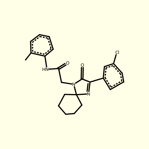 Cc1ccccc1NC(=O)CN1C(=O)C(c2cccc(Cl)c2)=NC12CCCCC2